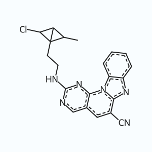 CC1C2C(Cl)C12CCNc1ncc2cc(C#N)c3nc4ccccc4n3c2n1